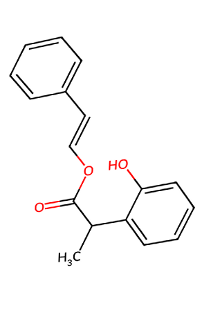 CC(C(=O)OC=Cc1ccccc1)c1ccccc1O